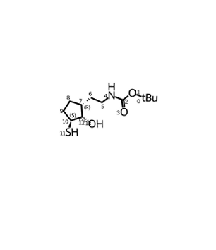 CC(C)(C)OC(=O)NCC[C@H]1CC[C@H](S)[C@H]1O